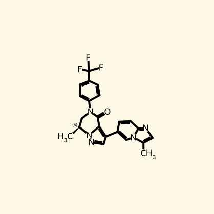 Cc1cnc2ccc(-c3cnn4c3C(=O)N(c3ccc(C(F)(F)F)cc3)C[C@@H]4C)cn12